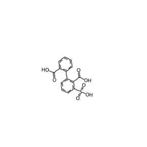 O=C(O)c1ccccc1-c1cccc(S(=O)(=O)O)c1C(=O)O